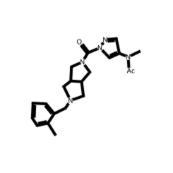 CC(=O)N(C)c1cnn(C(=O)N2CC3CN(Cc4ccccc4C)CC3C2)c1